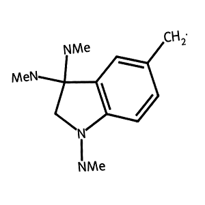 [CH2]c1ccc2c(c1)C(NC)(NC)CN2NC